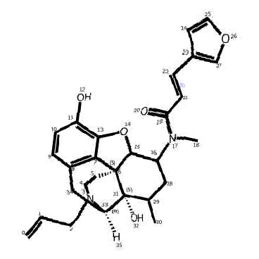 C=CCN1CC[C@]23c4c5ccc(O)c4OC2C(N(C)C(=O)/C=C/c2ccoc2)CC(C)[C@@]3(O)[C@H]1C5